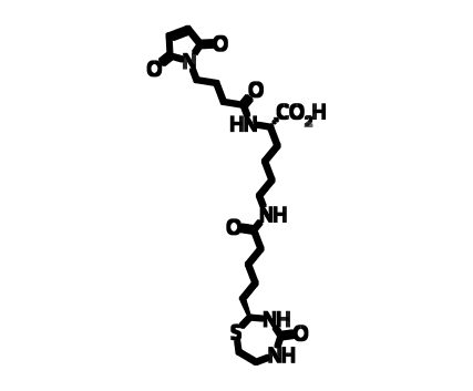 O=C(CCCC[C@H]1NC(=O)NCCS1)NCCCC[C@H](NC(=O)CCCN1C(=O)C=CC1=O)C(=O)O